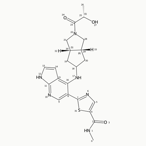 CNC(=O)c1cnc(-c2cnc3[nH]ccc3c2NC2C[C@@H]3CN(C(=O)[C@H](C)O)C[C@@H]3C2)s1